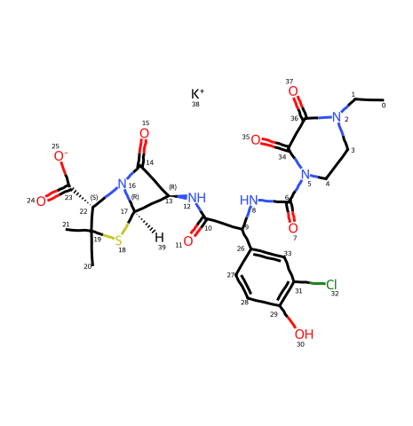 CCN1CCN(C(=O)NC(C(=O)N[C@@H]2C(=O)N3[C@@H]2SC(C)(C)[C@@H]3C(=O)[O-])c2ccc(O)c(Cl)c2)C(=O)C1=O.[K+]